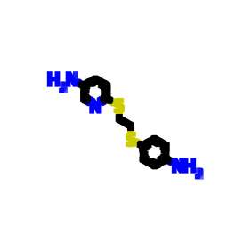 Nc1ccc(SCCSc2ccc(N)cn2)cc1